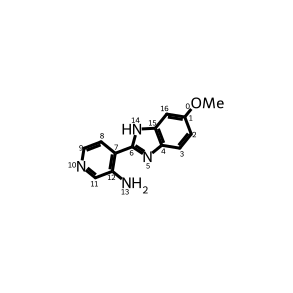 COc1ccc2nc(-c3ccncc3N)[nH]c2c1